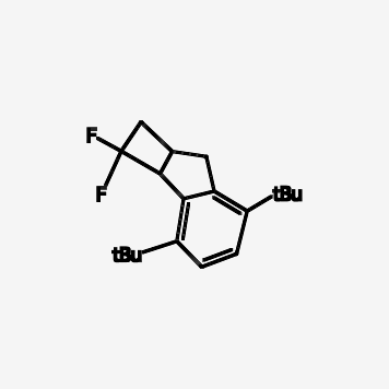 CC(C)(C)c1ccc(C(C)(C)C)c2c1CC1CC(F)(F)C21